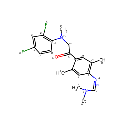 CCN(C)/C=N\c1cc(C)c(C(=O)CN(C)c2ccc(F)cc2F)cc1C